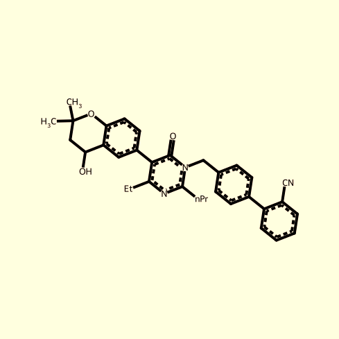 CCCc1nc(CC)c(-c2ccc3c(c2)C(O)CC(C)(C)O3)c(=O)n1Cc1ccc(-c2ccccc2C#N)cc1